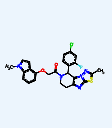 Cc1nn2c3c(nc2s1)CCN(C(=O)COc1cccc2c1ccn2C)C3c1ccc(Cl)cc1F